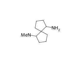 CNC1CCCC12CCCC2N